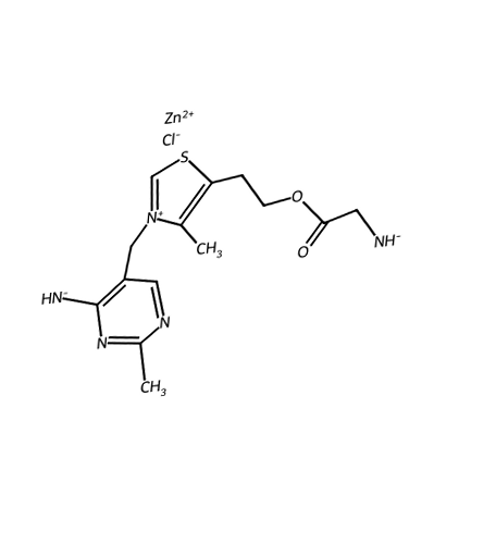 Cc1ncc(C[n+]2csc(CCOC(=O)C[NH-])c2C)c([NH-])n1.[Cl-].[Zn+2]